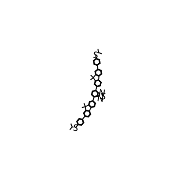 CC(C)Sc1ccc(-c2ccc3c(c2)C(C)(C)c2cc(-c4ccc(-c5ccc6c(c5)C(C)(C)c5cc(-c7ccc(SC(C)C)cc7)ccc5-6)c5nsnc45)ccc2-3)cc1